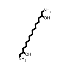 NCC(O)CCCCCCCCCCCC(O)CN